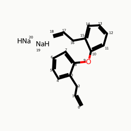 C=CCc1ccccc1Oc1ccccc1CC=C.[NaH].[NaH]